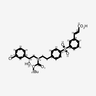 CC(C)(C)OC(=O)N(CCc1ccc(S(=O)(=O)c2cccc(C=CC(=O)O)c2)cc1)C[C@H](O)c1cccc(Cl)c1